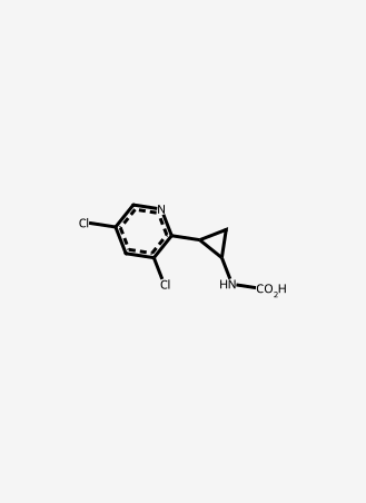 O=C(O)NC1CC1c1ncc(Cl)cc1Cl